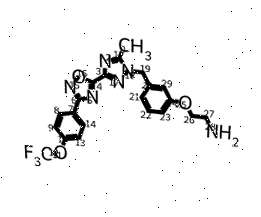 Cc1nc(-c2nc(-c3ccc(OC(F)(F)F)cc3)no2)nn1Cc1cccc(OCCN)c1